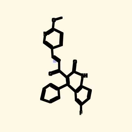 COc1ccc(/C=C/C(=O)c2c(-c3ccccc3)c3cc(F)ccc3[nH]c2=O)cn1